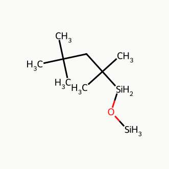 CC(C)(C)CC(C)(C)[SiH2]O[SiH3]